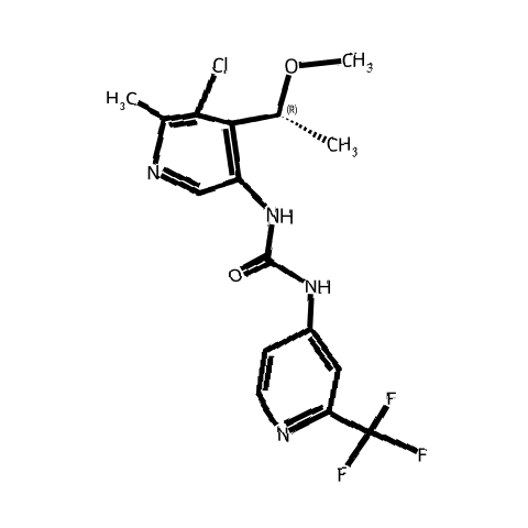 CO[C@H](C)c1c(NC(=O)Nc2ccnc(C(F)(F)F)c2)cnc(C)c1Cl